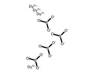 [Dy+3].[Dy+3].[Dy+3].[Dy+3].[O-]B([O-])[O-].[O-]B([O-])[O-].[O-]B([O-])[O-].[O-]B([O-])[O-]